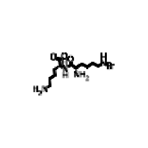 NCCCC[C@H](NC(=O)[C@@H](N)CCCCNBr)C(=O)O